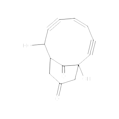 O=C1CC2C(=O)C(O)(C#CC=CC#CC2O)C1